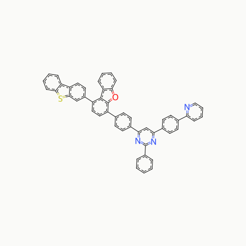 c1ccc(-c2nc(-c3ccc(-c4ccccn4)cc3)cc(-c3ccc(-c4ccc(-c5ccc6c(c5)sc5ccccc56)c5c4oc4ccccc45)cc3)n2)cc1